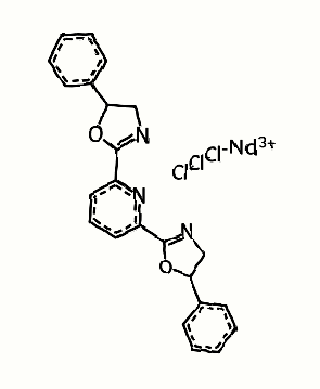 [Cl-].[Cl-].[Cl-].[Nd+3].c1ccc(C2CN=C(c3cccc(C4=NCC(c5ccccc5)O4)n3)O2)cc1